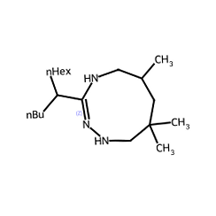 CCCCCCC(CCCC)/C1=N/NCC(C)(C)CC(C)CN1